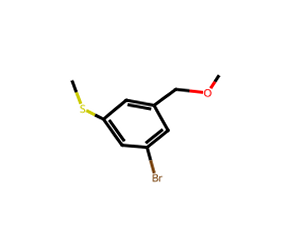 COCc1cc(Br)cc(SC)c1